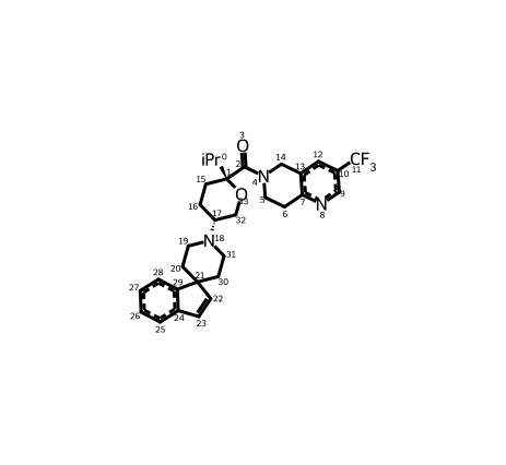 CC(C)[C@]1(C(=O)N2CCc3ncc(C(F)(F)F)cc3C2)CC[C@@H](N2CCC3(C=Cc4ccccc43)CC2)CO1